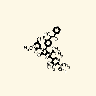 COc1nc(N(C)C)ncc1-c1nc2c(n1C(C)C)C(c1ccc(C(O)C(=O)c3ccccc3)c(F)c1)N(c1cc(Cl)cn(C)c1=O)C2=O